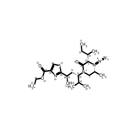 CCCN(C(=O)[C@@H](N=[N+]=[N-])C(C)CC)[C@@H](C[C@@H](O)c1nc(C(=O)OCC)cs1)C(C)C